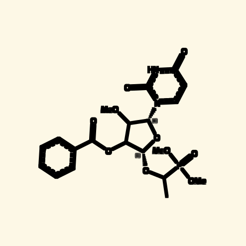 COC1C(OC(=O)c2ccccc2)[C@@H](OC(C)P(=O)(OC)OC)O[C@H]1n1ccc(=O)[nH]c1=O